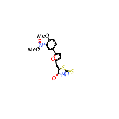 COc1ccc(-c2ccc(/C=C3\SC(=S)NC3=O)o2)cc1[N+](=O)OC